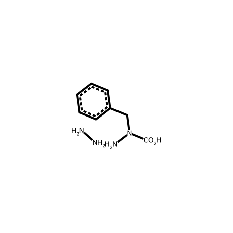 NN.NN(Cc1ccccc1)C(=O)O